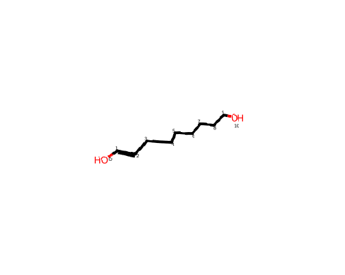 O/C=C/CCCCCCCO